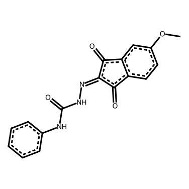 COc1ccc2c(=O)/c(=N\NC(=O)Nc3ccccc3)c(=O)c2c1